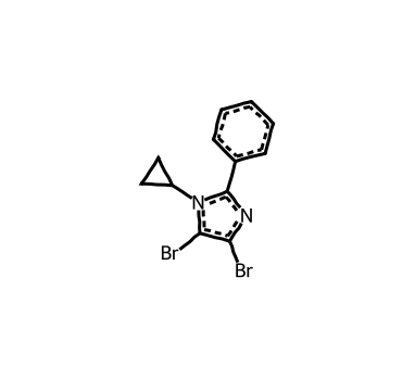 Brc1nc(-c2ccccc2)n(C2CC2)c1Br